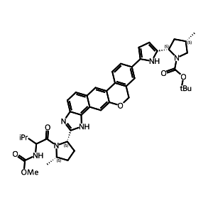 COC(=O)NC(C(=O)N1[C@@H](C)CC[C@H]1c1nc2ccc3cc4c(cc3c2[nH]1)OCc1cc(-c2ccc([C@@H]3C[C@H](C)CN3C(=O)OC(C)(C)C)[nH]2)ccc1-4)C(C)C